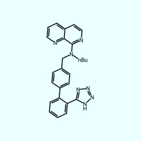 CCCCN(Cc1ccc(-c2ccccc2-c2nnn[nH]2)cc1)c1nccc2cccnc12